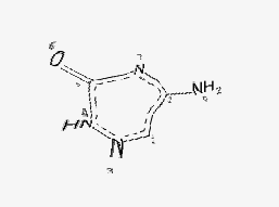 Nc1[c]n[nH]c(=O)n1